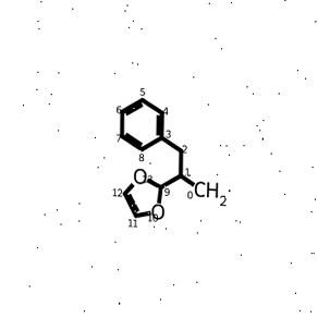 [CH2]C(Cc1ccccc1)C1OC=CO1